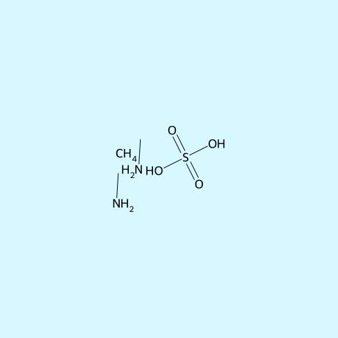 C.CN.CN.O=S(=O)(O)O